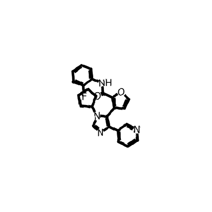 O=C(Nc1ccccc1F)c1occc1-c1c(-c2cccnc2)ncn1C1CCCC1